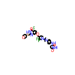 O=C1CCC(Nc2ccc(N3CC(N4CCC(COc5cc(F)c6c(=O)[nH]c(CSC7CCOCC7)nc6c5)C(F)(F)C4)C3)cc2)C(=O)N1